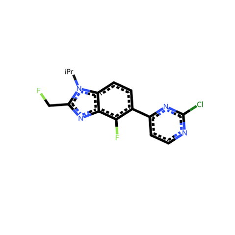 CC(C)n1c(CF)nc2c(F)c(-c3ccnc(Cl)n3)ccc21